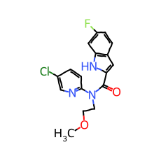 COCCN(C(=O)c1cc2ccc(F)cc2[nH]1)c1ccc(Cl)cn1